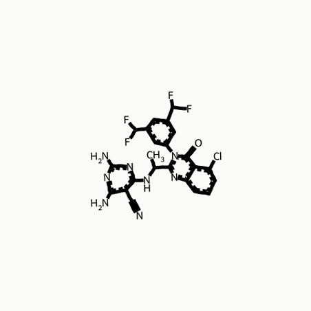 CC(Nc1nc(N)nc(N)c1C#N)c1nc2cccc(Cl)c2c(=O)n1-c1cc(C(F)F)cc(C(F)F)c1